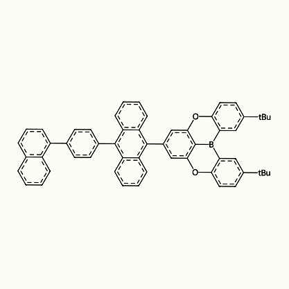 CC(C)(C)c1ccc2c(c1)B1c3cc(C(C)(C)C)ccc3Oc3cc(-c4c5ccccc5c(-c5ccc(-c6cccc7ccccc67)cc5)c5ccccc45)cc(c31)O2